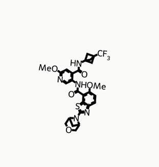 COc1cc(C(=O)NC23CC(C(F)(F)F)(C2)C3)c(NC(=O)c2c(OC)ccc3nc(N4C5COCC4C5)sc23)cn1